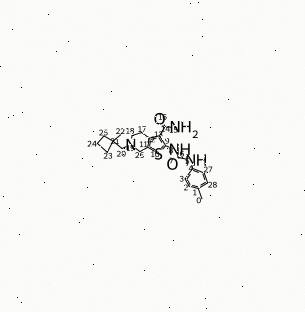 Cc1ccc(NC(=O)Nc2sc3c(c2C(N)=O)CCN(CC2(C)CCC2)C3)cc1